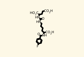 O=C(O)CCC(NC(=O)NCCCCC(NC(=O)c1ccc(F)cc1)C(=O)O)C(=O)O